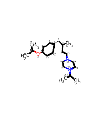 CC(C)O[C@H]1CC[C@H](C[C@@H](C)CCN2CCN(C(C)C)CC2)CC1